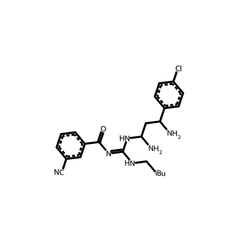 CCC(C)CN/C(=N/C(=O)c1cccc(C#N)c1)NC(N)CC(N)c1ccc(Cl)cc1